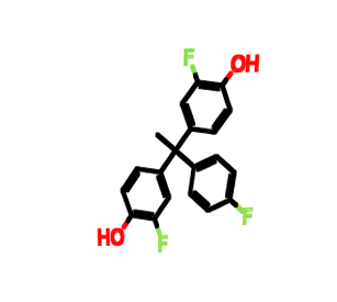 CC(c1ccc(F)cc1)(c1ccc(O)c(F)c1)c1ccc(O)c(F)c1